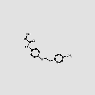 Cc1ccc(CCSc2ccc(NC(=O)NO)cc2)cc1